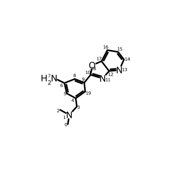 CN(C)Cc1cc(N)cc(-c2nc3ncccc3o2)c1